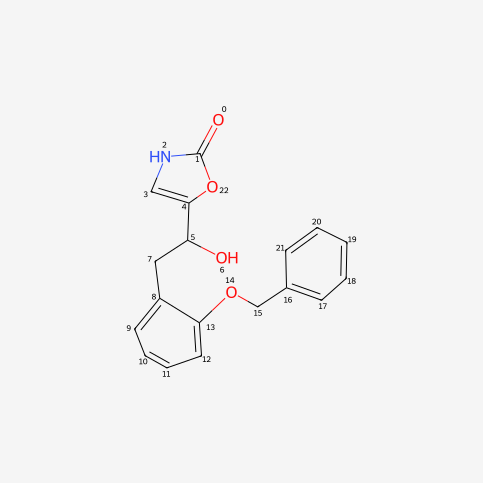 O=c1[nH]cc(C(O)Cc2ccccc2OCc2ccccc2)o1